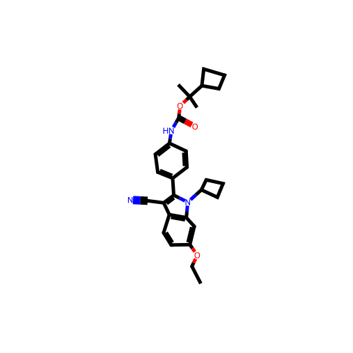 CCOc1ccc2c(C#N)c(-c3ccc(NC(=O)OC(C)(C)C4CCC4)cc3)n(C3CCC3)c2c1